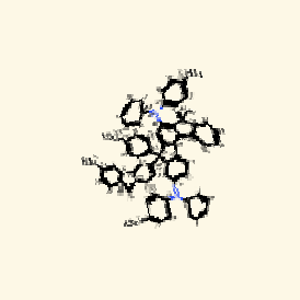 CC(C)(C)c1ccc(N(c2ccccc2)c2ccc3c(c2)C(c2ccc(C(C)(C)C)cc2)(c2ccc4c(c2)-c2cc(C(C)(C)C)ccc2C4)c2cc(N(c4ccccc4)c4ccc(C(C)(C)C)cc4)c4c(c2-3)-c2ccccc2C4(C)C)cc1